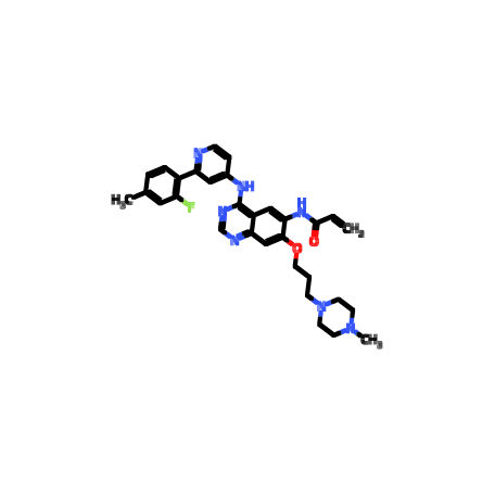 C=CC(=O)Nc1cc2c(Nc3ccnc(-c4ccc(C)cc4F)c3)ncnc2cc1OCCCN1CCN(C)CC1